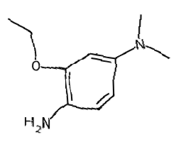 CCOc1cc(N(C)C)ccc1N